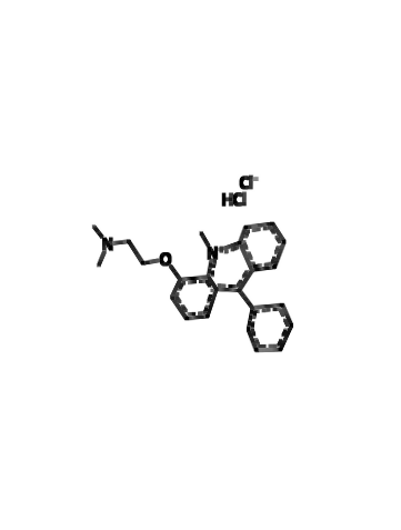 CN(C)CCOc1cccc2c(-c3ccccc3)c3ccccc3[n+](C)c12.Cl.[Cl-]